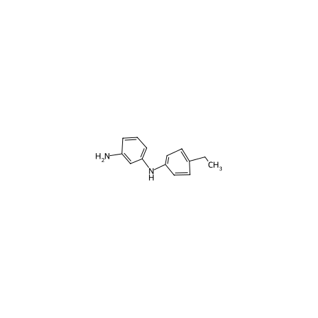 CCc1ccc(Nc2cccc(N)c2)cc1